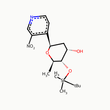 C[C@H]1O[C@@H](c2ccncc2[N+](=O)[O-])C[C@H](O)[C@@H]1O[Si](C)(C)C(C)(C)C